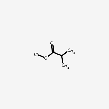 CC(C)C(=O)OCl